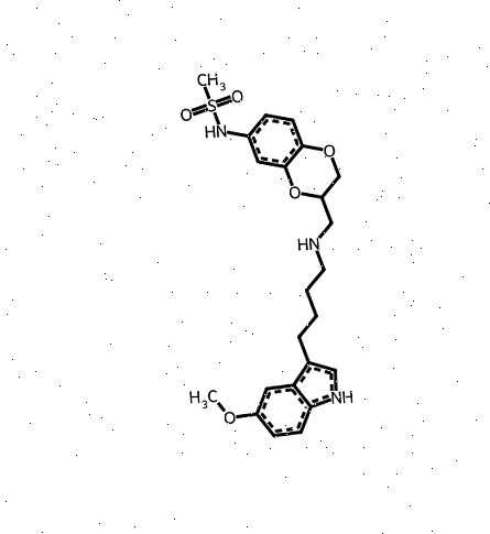 COc1ccc2[nH]cc(CCCCNCC3COc4ccc(NS(C)(=O)=O)cc4O3)c2c1